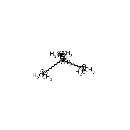 C=C(C)C(=O)OCCCCCCCCCCC[N+](C)(C)CCCCCCCCCCCOC(=O)C(=C)C.COP(=O)([O-])OC